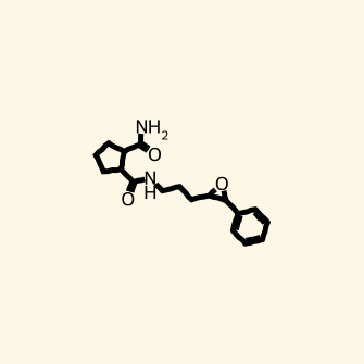 NC(=O)C1CCCC1C(=O)NCCCC1OC1c1ccccc1